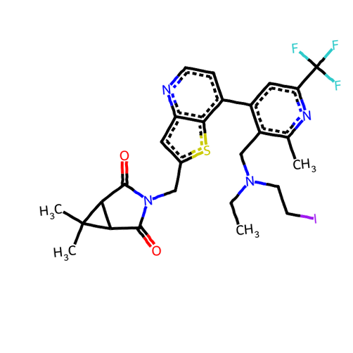 CCN(CCI)Cc1c(-c2ccnc3cc(CN4C(=O)C5C(C4=O)C5(C)C)sc23)cc(C(F)(F)F)nc1C